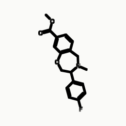 COC(=O)c1ccc2c(c1)OCC(c1ccc(F)cc1)N(C)C2